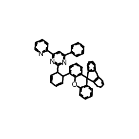 C1=CC(c2nc(-c3ccccc3)cc(-c3ccccn3)n2)C(c2cccc3c2Oc2ccccc2C32C3=C(C=CCC3)c3ccccc32)C=C1